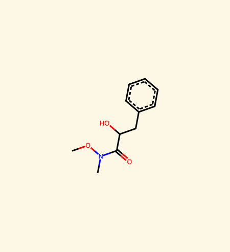 CON(C)C(=O)C(O)Cc1ccccc1